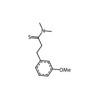 COc1cccc(CCC(=S)N(C)C)c1